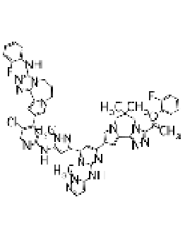 C[C@H](Oc1ccccc1F)c1nnc2n1CC(C)(C)Cn1cc(-c3cc(-c4cc(Nc5cc(-c6cc7n(c6)CCCn6c(Nc8ccccc8F)nnc6-7)c(Cl)cn5)n(C)n4)nc(Nc4ccnn4C)n3)cc1-2